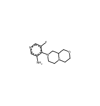 Nc1cncc(F)c1N1CCN2CCOCC2C1